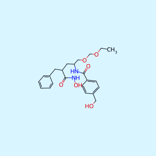 CCOCOCC(CC(Cc1ccccc1)C(=O)NO)NC(=O)c1ccc(CO)cc1